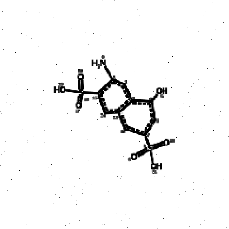 Nc1cc2c(O)cc(S(=O)(=O)O)cc2cc1S(=O)(=O)O